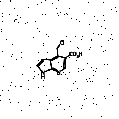 O=C(O)c1cnc2[nH]ccc2c1CCl